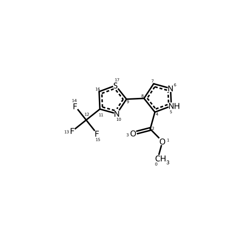 COC(=O)c1[nH]ncc1-c1nc(C(F)(F)F)cs1